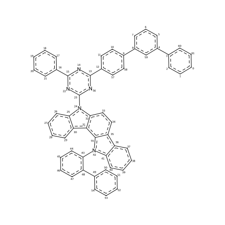 c1ccc(-c2cccc(-c3ccc(-c4nc(-c5ccccc5)nc(-n5c6ccccc6c6c5ccc5c7ccccc7n(-c7ccccc7-c7ccccc7)c56)n4)cc3)c2)cc1